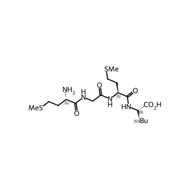 CC[C@H](C)[C@H](NC(=O)[C@H](CCSC)NC(=O)CNC(=O)[C@@H](N)CCSC)C(=O)O